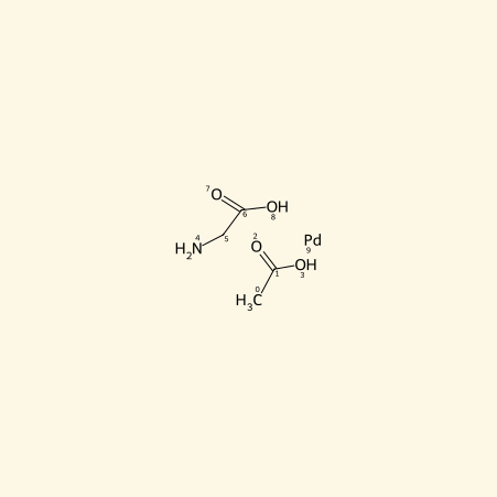 CC(=O)O.NCC(=O)O.[Pd]